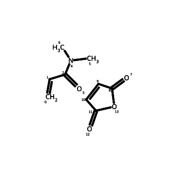 C=CC(=O)N(C)C.O=C1C=CC(=O)O1